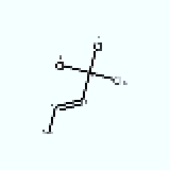 [CH2]C=CC(Cl)(Cl)Cl